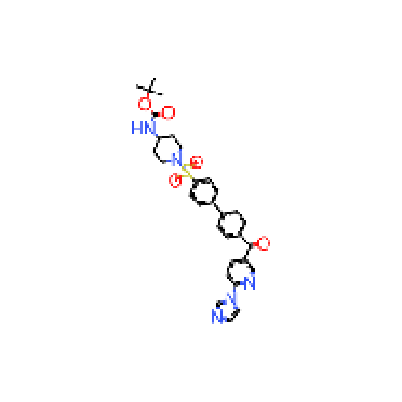 CC(C)(C)OC(=O)NC1CCN(S(=O)(=O)c2ccc(-c3ccc(C(=O)c4ccc(-n5ccnc5)nc4)cc3)cc2)CC1